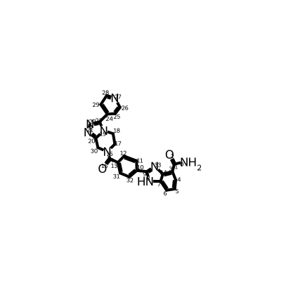 NC(=O)c1cccc2[nH]c(-c3ccc(C(=O)N4CCn5c(nnc5-c5ccncc5)C4)cc3)nc12